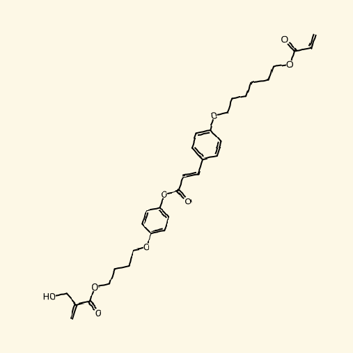 C=CC(=O)OCCCCCCOc1ccc(/C=C/C(=O)Oc2ccc(OCCCCOC(=O)C(=C)CO)cc2)cc1